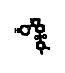 Cc1ccc(S(=O)(=O)c2ccc3ccnc(N4CCCNCC4)c3c2)cc1C